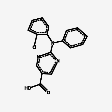 O=C(O)c1cnc(N(c2ccccc2)c2ccccc2Cl)nc1